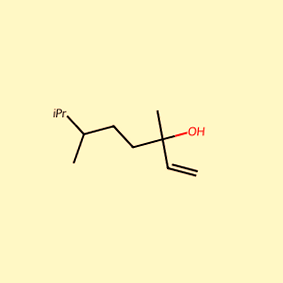 C=CC(C)(O)CCC(C)C(C)C